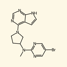 CN(c1ncc(Br)cn1)C1CCN(c2ncnc3[nH]ccc23)C1